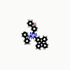 c1ccc(C(c2ccccc2)(c2ccccc2)c2ccc(-c3nc(-c4ccc5oc6ccccc6c5c4)nc(-n4c5ccccc5c5ccccc54)n3)cc2)cc1